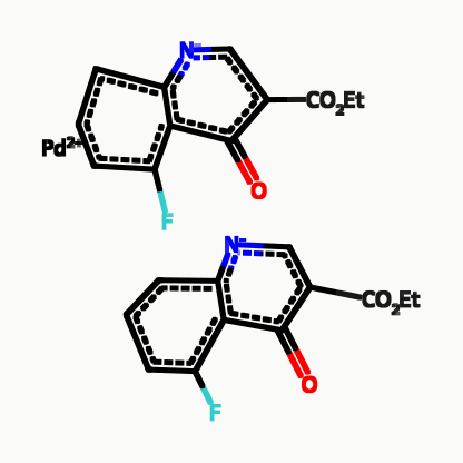 CCOC(=O)c1c[n-]c2cccc(F)c2c1=O.CCOC(=O)c1c[n-]c2cccc(F)c2c1=O.[Pd+2]